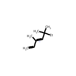 C=C/C(C)=C/C(C)(C)CC